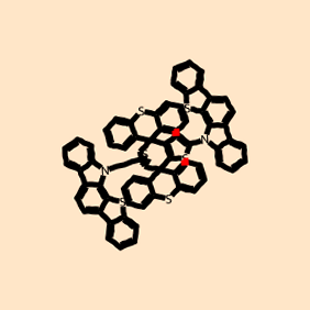 c1ccc2c(c1)Sc1ccccc1C21c2cc(-n3c4ccccc4c4ccc5c6ccccc6sc5c43)sc2C2(c3ccccc3Sc3ccccc32)c2cc(-n3c4ccccc4c4ccc5c6ccccc6sc5c43)sc21